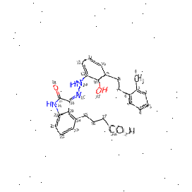 Cc1ccccc1CCC1C=CC=C(NN=C2C(=O)Nc3cccc(CCCC(=O)O)c32)C1O